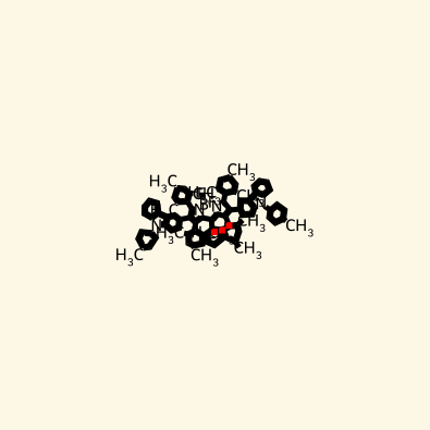 Cc1ccc(-n2c3ccccc3c3cc(C4=C(c5c(C)cc(C)cc5C)/C(=C(\c5ccccc5F)c5c(-c6c(C)cc(C)cc6C)c(-c6ccc7c(c6)c6ccccc6n7-c6ccc(C)cc6)c(-c6c(C)cc(C)cc6C)n5B(F)F)N=C4c4c(C)cc(C)cc4C)ccc32)cc1